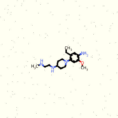 CCc1cc(N)c(OC)cc1N1CCC(NCCNC)CC1